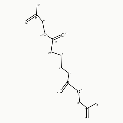 C=C(C)COC(=O)CCCCC(=O)OCC(=C)C